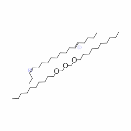 CC/C=C\CCCCCCCC/C=C/CCCC.CCCCCCCCCCOCOCOCCCCCCCCCC